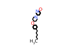 CCCCCCc1ccc(OC2CCN(c3ccc([O])nc3)CC2)cc1